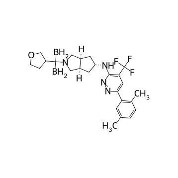 BC(B)(C1CCOC1)N1C[C@H]2C[C@H](Nc3nnc(-c4cc(C)ccc4C)cc3C(F)(F)F)C[C@H]2C1